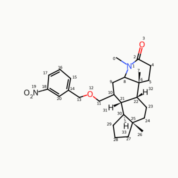 CN1C(=O)CC[C@@]2(C)C1CC(COCc1cccc([N+](=O)[O-])c1)[C@@H]1[C@H]2CC[C@]2(C)CCC[C@@H]12